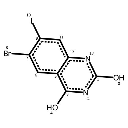 Oc1nc(O)c2cc(Br)c(I)cc2n1